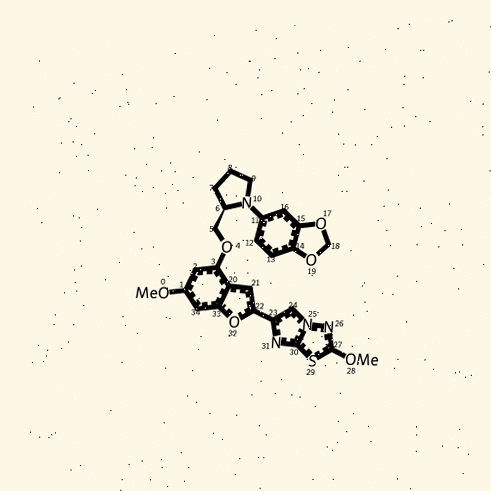 COc1cc(OC[C@H]2CCCN2c2ccc3c(c2)OCO3)c2cc(-c3cn4nc(OC)sc4n3)oc2c1